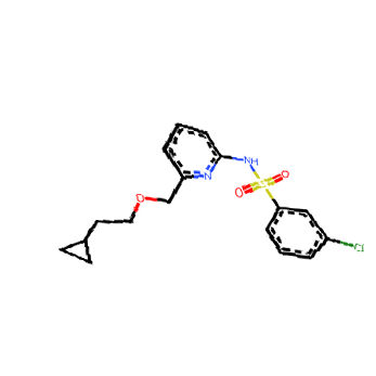 O=S(=O)(Nc1cccc(COCCC2CC2)n1)c1cccc(Cl)c1